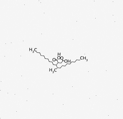 CCCCCCCCCCC(C)C(CCCCCCCCCC)C(CC(=O)O)C(=O)O